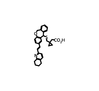 O=C(O)CC1(CSC2c3ccccc3COc3ccc(C=Cc4ccc5c(n4)CCCC5)cc32)CC1